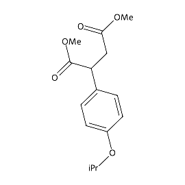 COC(=O)CC(C(=O)OC)c1ccc(OC(C)C)cc1